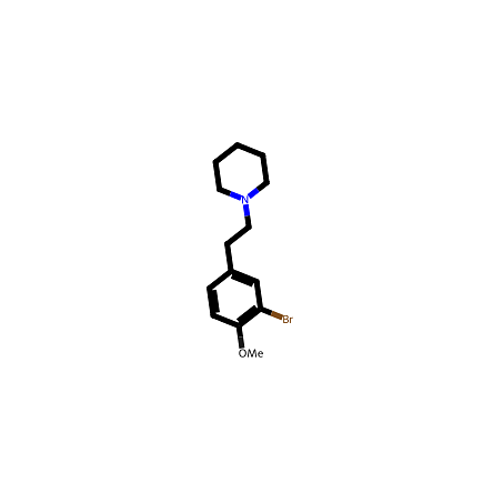 COc1ccc(CCN2CCCCC2)cc1Br